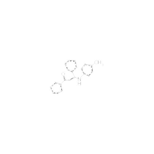 Cc1ccc(N/C(=C/C(=O)c2ccccc2)c2ccccc2)cc1